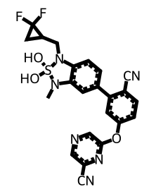 CN1c2cc(-c3cc(Oc4cncc(C#N)n4)ccc3C#N)ccc2N(CC2CC2(F)F)S1(O)O